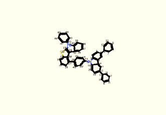 c1ccc(-c2ccc3c(c2)c2cc(-c4ccccc4)ccc2n3-c2ccc(-c3cccc4sc5c(c6ccccc6n5-c5ccccc5)c34)cc2)cc1